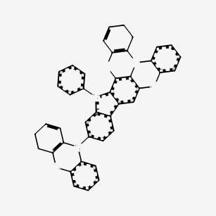 C1=CC2=C(CC1)Oc1ccccc1N2c1ccc2c3cc4c5c(c3n(-c3ccccc3)c2c1)OC1=C(CCC=C1)B5c1ccccc1O4